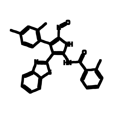 Cc1ccc(-c2c(N=O)[nH]c(NC(=O)c3ccccc3C)c2-c2nc3ccccc3s2)c(C)c1